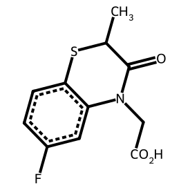 CC1Sc2ccc(F)cc2N(CC(=O)O)C1=O